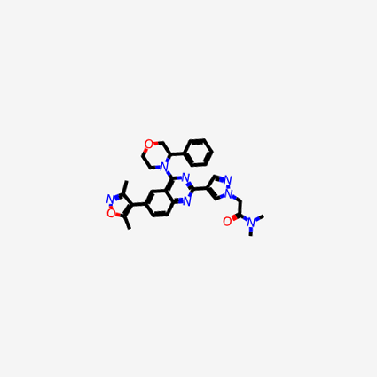 Cc1noc(C)c1-c1ccc2nc(-c3cnn(CC(=O)N(C)C)c3)nc(N3CCOCC3c3ccccc3)c2c1